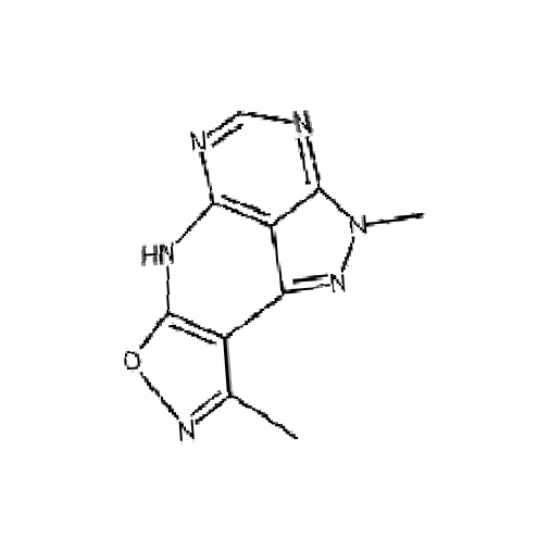 Cc1noc2c1-c1nn(C)c3ncnc(c13)N2